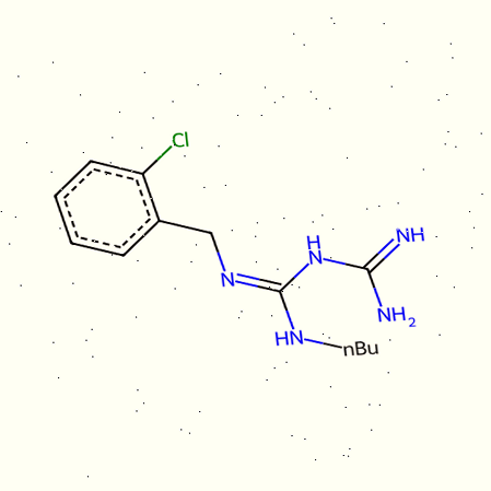 CCCCNC(=NCc1ccccc1Cl)NC(=N)N